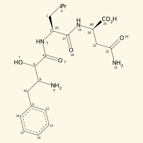 CC(C)C[C@H](NC(=O)C(O)C(N)Cc1ccccc1)C(=O)N[C@H](CC(N)=O)C(=O)O